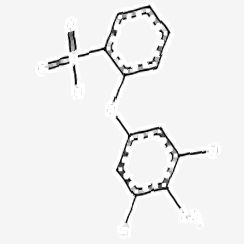 O=[N+]([O-])c1c(Cl)cc(Oc2ccccc2S(=O)(=O)Cl)cc1Cl